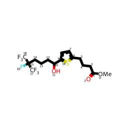 COC(=O)CCCc1ccc(C(O)CCCC(F)(C(F)(F)F)C(F)(F)F)s1